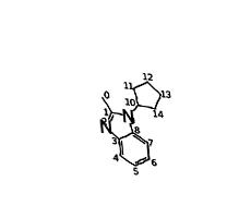 Cc1nc2ccccc2n1C1CCCC1